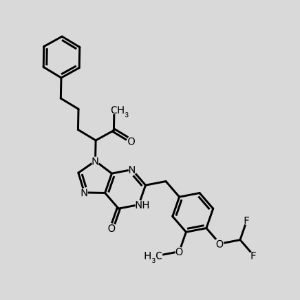 COc1cc(Cc2nc3c(ncn3C(CCCc3ccccc3)C(C)=O)c(=O)[nH]2)ccc1OC(F)F